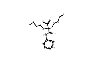 CCCCSC(SCCCC)(C(C)=O)C(=O)Nc1ccccc1